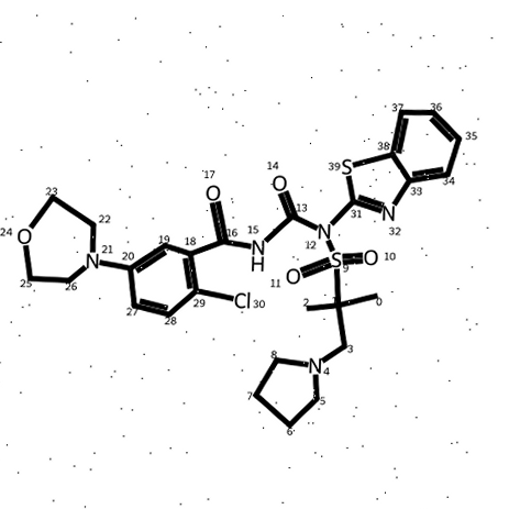 CC(C)(CN1CCCC1)S(=O)(=O)N(C(=O)NC(=O)c1cc(N2CCOCC2)ccc1Cl)c1nc2ccccc2s1